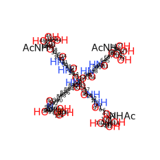 CC(=O)NC1C(OCCCCC(=O)NCCCNC(=O)CCOCC(COCCC(=O)NCCCNC(=O)CCCCOC2OC(CO)C(O)C(O)C2NC(C)=O)(COCCC(=O)NCCCNC(=O)CCCCOC2OC(CO)C(O)C(O)C2NC(C)=O)NC(=O)CCCCCCCCCCC(=O)N2C[C@H](O)C[C@H]2COP(=O)(O)O)OC(CO)C(O)C1O